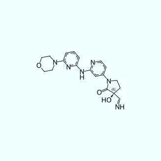 N=C[C@@]1(O)CCN(c2ccnc(Nc3cccc(N4CCOCC4)n3)c2)C1=O